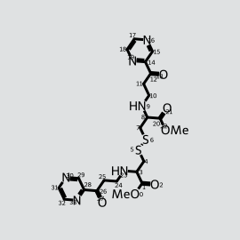 COC(=O)C(CSSCC(NCCC(=O)c1cnccn1)C(=O)OC)NCCC(=O)c1cnccn1